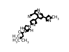 Cn1cc(-c2cc(-c3ccc(N4C[C@@H]5C[C@H]4CN5C(=O)CC(C)(C)C)nc3)c3c(C#N)cnn3c2)cn1